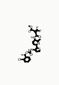 COC(=O)C1C(C(=O)Nc2ccc(-c3sccc3NC(=O)O[C@H](C)c3ccccc3Cl)nc2C)C1(F)F